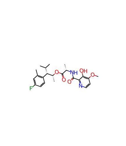 COc1ccnc(C(=O)N[C@@H](C)C(=O)O[C@H](C)[C@H](c2ccc(F)cc2C)C(C)C)c1O